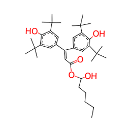 CCCCCC(O)OC(=O)C=C(c1cc(C(C)(C)C)c(O)c(C(C)(C)C)c1)c1cc(C(C)(C)C)c(O)c(C(C)(C)C)c1